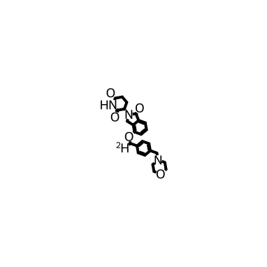 [2H]C(Oc1cccc2c1CN(C1CCC(=O)NC1=O)C2=O)c1ccc(CN2CCOCC2)cc1